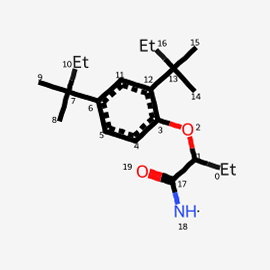 CCC(Oc1ccc(C(C)(C)CC)cc1C(C)(C)CC)C([NH])=O